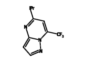 CC(C)c1cc(C(F)(F)F)n2nccc2n1